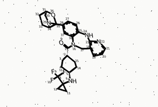 O=C([C@H]1CC[C@H](NC2(C(F)(F)F)CC2)CC1)N1Cc2cccnc2Nc2ccc(N3CC4CCC3CO4)cc21